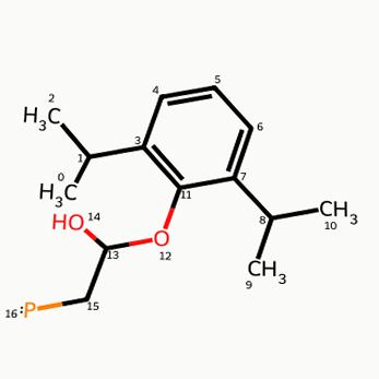 CC(C)c1cccc(C(C)C)c1OC(O)C[P]